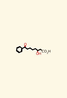 O=C(O)CC(O)CCCCC(=O)c1ccccc1